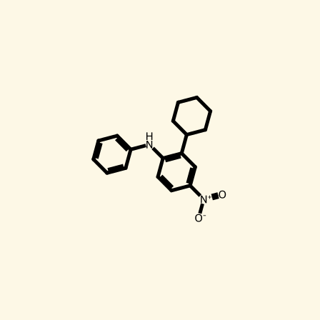 O=[N+]([O-])c1ccc(Nc2ccccc2)c(C2CCCCC2)c1